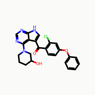 O=C(c1ccc(Oc2ccccc2)cc1Cl)c1c[nH]c2ncnc(N3CCCC(O)C3)c12